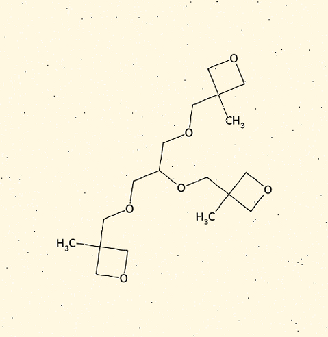 CC1(COCC(COCC2(C)COC2)OCC2(C)COC2)COC1